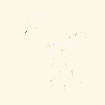 C#Cc1c(F)ccc2cc(O)cc(-c3c(F)cc4c(N5C[C@H]6CC[C@@H](C5)N6)nc(OC[C@]5(C)CN(CC)CC[C@@H]5C(F)F)nc4c3F)c12